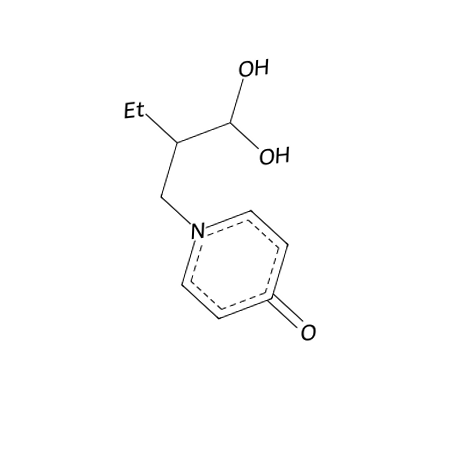 CCC(Cn1ccc(=O)cc1)C(O)O